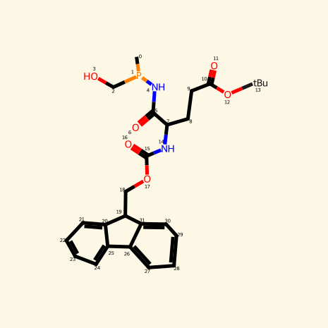 CP(CO)NC(=O)C(CCC(=O)OC(C)(C)C)NC(=O)OCC1c2ccccc2-c2ccccc21